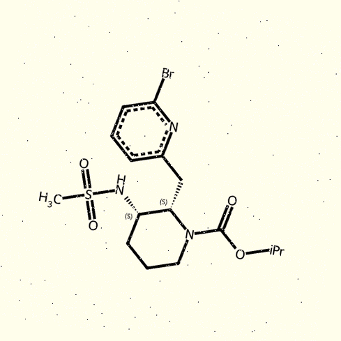 CC(C)OC(=O)N1CCC[C@H](NS(C)(=O)=O)[C@@H]1Cc1cccc(Br)n1